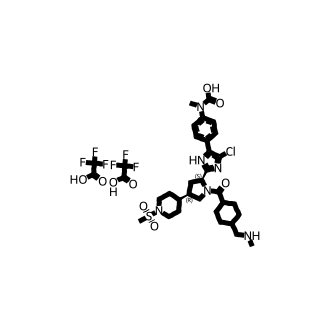 CNCC1CCC(C(=O)N2C[C@@H](C3CCN(S(C)(=O)=O)CC3)C[C@H]2c2nc(Cl)c(-c3ccc(N(C)C(=O)O)cc3)[nH]2)CC1.O=C(O)C(F)(F)F.O=C(O)C(F)(F)F